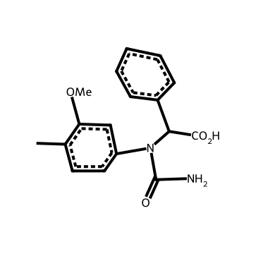 COc1cc(N(C(N)=O)C(C(=O)O)c2ccccc2)ccc1C